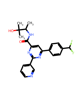 CC(NC(=O)c1cc(-c2ccc(C(F)F)cc2)nc(-c2cccnc2)n1)C(C)(C)O